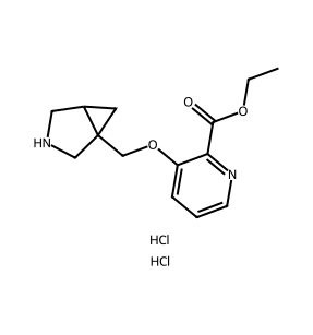 CCOC(=O)c1ncccc1OCC12CNCC1C2.Cl.Cl